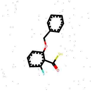 O=C(S)c1c(F)cccc1OCc1ccccc1